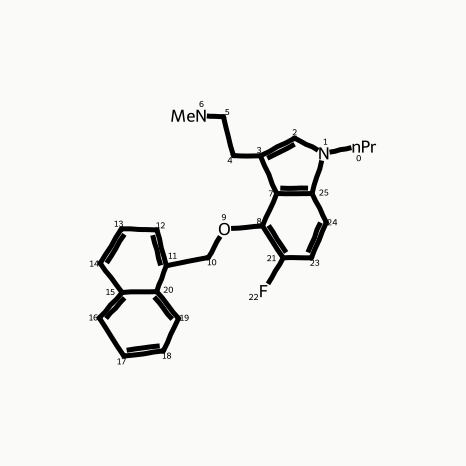 CCCn1cc(CCNC)c2c(OCc3cccc4ccccc34)c(F)ccc21